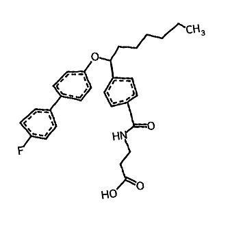 CCCCCCC(Oc1ccc(-c2ccc(F)cc2)cc1)c1ccc(C(=O)NCCC(=O)O)cc1